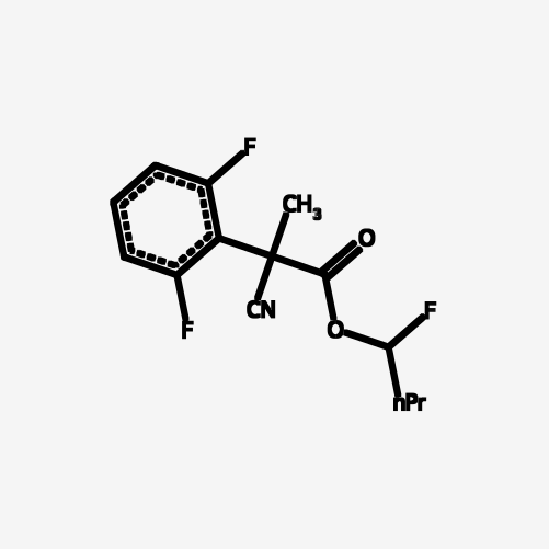 CCCC(F)OC(=O)C(C)(C#N)c1c(F)cccc1F